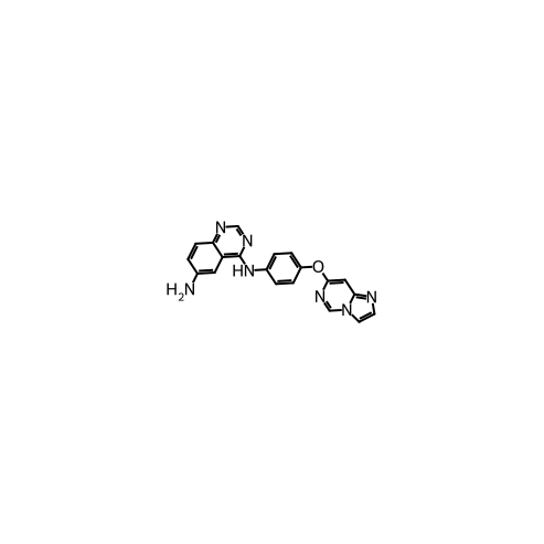 Nc1ccc2ncnc(Nc3ccc(Oc4cc5nccn5cn4)cc3)c2c1